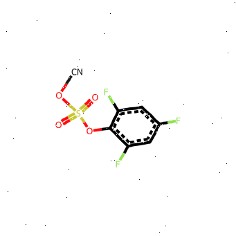 N#COS(=O)(=O)Oc1c(F)cc(F)cc1F